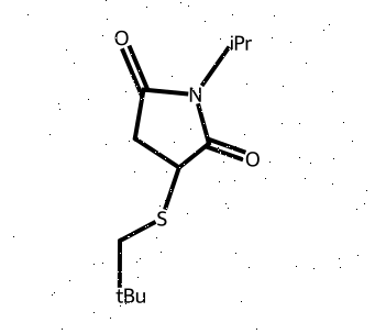 CC(C)N1C(=O)CC(SCC(C)(C)C)C1=O